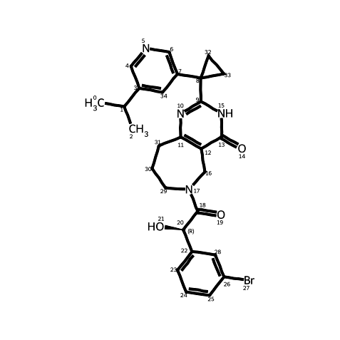 CC(C)c1cncc(C2(c3nc4c(c(=O)[nH]3)CN(C(=O)[C@H](O)c3cccc(Br)c3)CCC4)CC2)c1